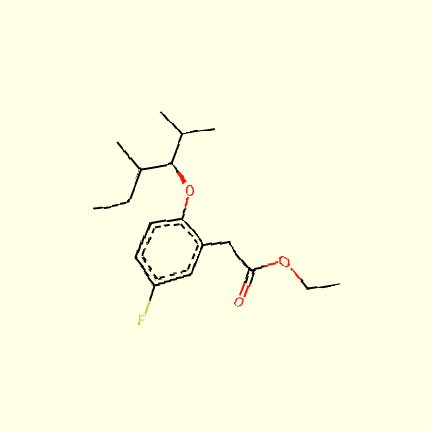 CCOC(=O)Cc1cc(F)ccc1O[C@H](C(C)C)C(C)CC